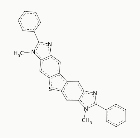 Cn1c(-c2ccccc2)nc2cc3c(cc21)sc1cc2c(cc13)nc(-c1ccccc1)n2C